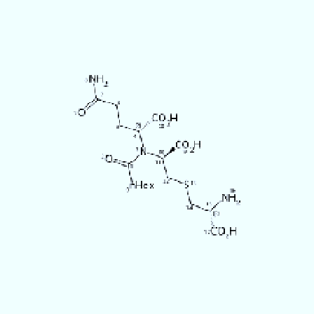 CCCCCCC(=O)N([C@H](CCC(N)=O)C(=O)O)[C@H](CSC[C@H](N)C(=O)O)C(=O)O